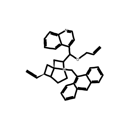 C=CCOC(c1ccnc2ccccc12)C1C[C@]23C[C@H](C=C)C2CC[N+]13Cc1c2ccccc2cc2ccccc12